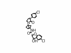 O=C(NC1CC2(N3CC[C@@H](c4ccc(Cl)cc4)C3=O)CC1C2)[C@H]1C[C@@H](O)c2cc(Cl)ccc2O1